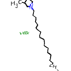 Br.CCCCCCCCCCCCCCCCN1CCC(C)C1